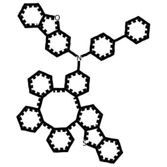 c1ccc(-c2ccc(N(c3ccc4c(c3)oc3ccccc34)c3ccc4c(c3)c3ccccc3c3ccccc3c3ccccc3c3c4ccc4c5ccccc5sc43)cc2)cc1